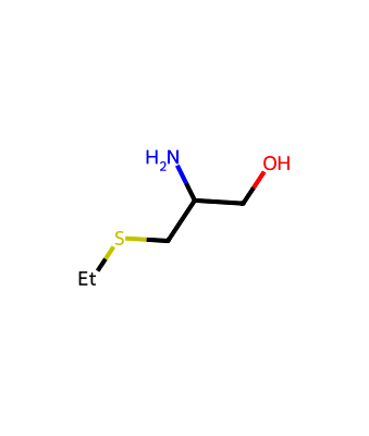 CCSCC(N)CO